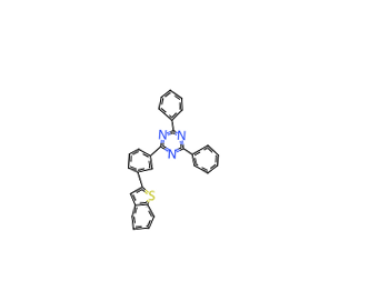 c1ccc(-c2nc(-c3ccccc3)nc(-c3cccc(-c4cc5ccccc5s4)c3)n2)cc1